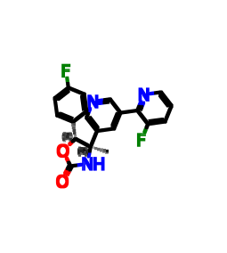 C[C@]1(c2cncc(-c3ncccc3F)c2)NC(=O)O[C@@H]1c1ccc(F)cc1